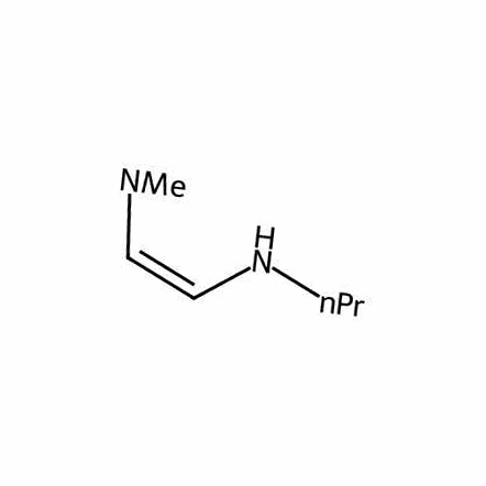 CCCN/C=C\NC